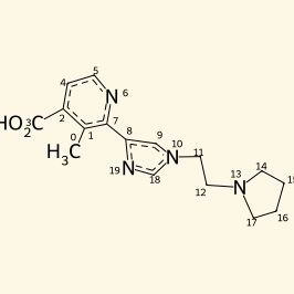 Cc1c(C(=O)O)ccnc1-c1cn(CCN2CCCC2)cn1